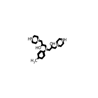 CC1C=CC(N(CC(O)CN2CCNCC2)CC(O)CN2CCNCC2)=CC1